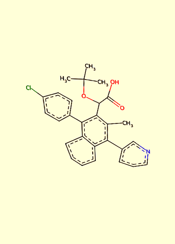 Cc1c(C(OC(C)(C)C)C(=O)O)c(-c2ccc(Cl)cc2)c2ccccc2c1-c1cccnc1